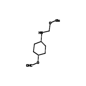 CC(C)(C)OCNC1CCC(OC=O)CC1